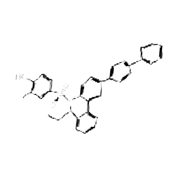 CCC1c2ccccc2-c2cc(-c3ccc(-c4ccccc4)cc3)ccc2N1S(=O)(=O)c1ccc(O)c(C)c1